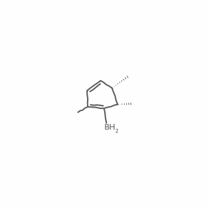 BC1=C(C)C=C[C@H](C)[C@@H]1C